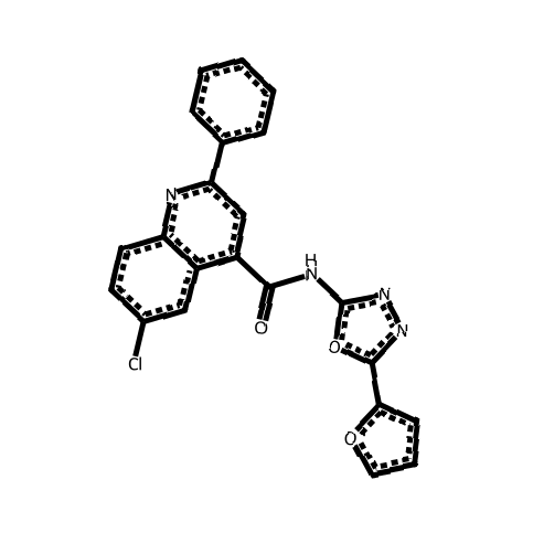 O=C(Nc1nnc(-c2ccco2)o1)c1cc(-c2ccccc2)nc2ccc(Cl)cc12